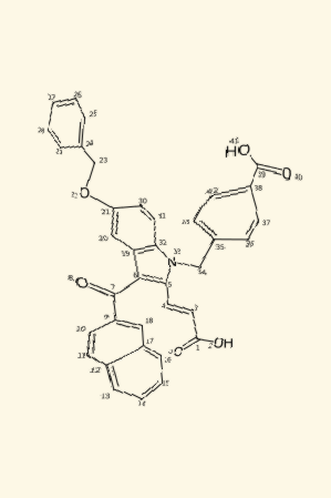 O=C(O)C=Cc1c(C(=O)c2ccc3ccccc3c2)c2cc(OCc3ccccc3)ccc2n1Cc1ccc(C(=O)O)cc1